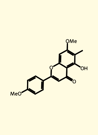 COc1ccc(-c2cc(=O)c3c(O)c(C)c(OC)cc3o2)cc1